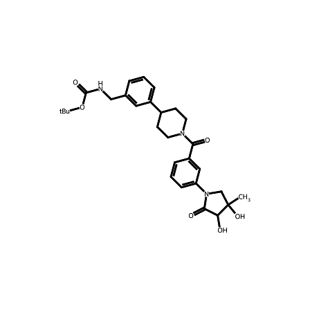 CC(C)(C)OC(=O)NCc1cccc(C2CCN(C(=O)c3cccc(N4CC(C)(O)C(O)C4=O)c3)CC2)c1